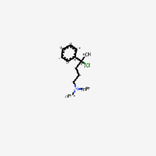 CCCN(CCC)CCCC(Cl)(C#N)c1ccccc1